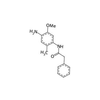 COc1cc(NC(=O)Cc2ccccc2)c(C)cc1N